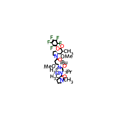 CC[C@H](C)[C@@H]([C@@H](CC(=O)N1CCC[C@H]1[C@H](OC)[C@@H](C)C(=O)Oc1c(F)c(F)c(F)c(F)c1F)OC)N(C)C(=O)[C@@H](NC(=O)[C@@]1(C)CCCN1C)C(C)C